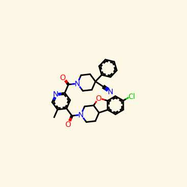 Cc1cnc(C(=O)N2CCC(C#N)(c3ccccc3)CC2)cc1C(=O)N1CCC2c3ccc(Cl)cc3OC2C1